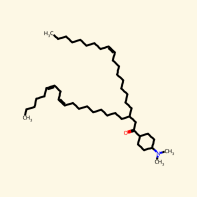 CCCCC/C=C\C/C=C\CCCCCCCCC(CCCCCCCC/C=C\CCCCCCCC)CC(=O)C1CCC(N(C)C)CC1